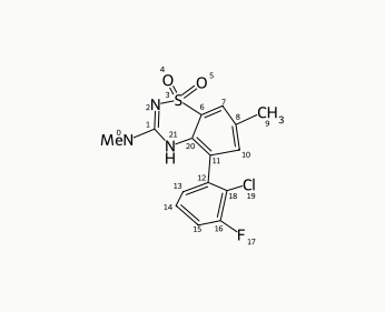 CNC1=NS(=O)(=O)c2cc(C)cc(-c3cccc(F)c3Cl)c2N1